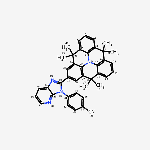 CC1(C)c2cccc3c2N2c4c1cccc4C(C)(C)c1cc(-c4nc5cccnc5n4-c4ccc(C#N)cc4)cc(c12)C3(C)C